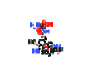 N=c1ccc2c(-c3ccc(C(=O)NC(CP(=O)(O)O)C(=O)NN)cc3C(=O)O)c3ccc(N)c(S(=O)(=O)O)c3oc-2c1S(=O)(=O)O